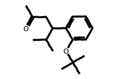 CC(=O)CC(c1ccccc1OC(C)(C)C)C(C)C